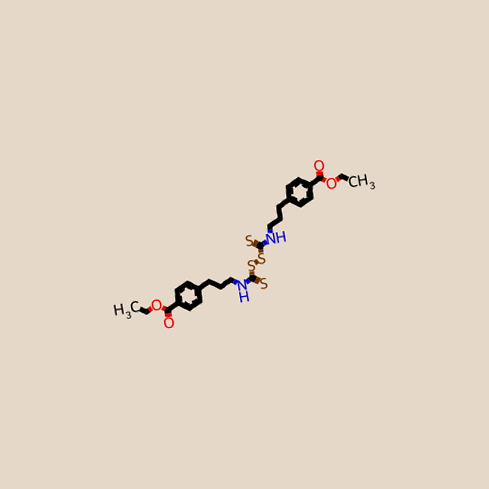 CCOC(=O)c1ccc(CCCNC(=S)SSC(=S)NCCCc2ccc(C(=O)OCC)cc2)cc1